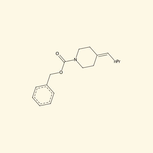 CCCC=C1CCN(C(=O)OCc2ccccc2)CC1